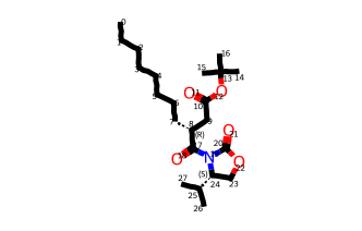 CCCCCCCC[C@H](CC(=O)OC(C)(C)C)C(=O)N1C(=O)OC[C@@H]1C(C)C